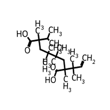 C=CC(C)(C)C(C)(CC(C)(C)C(C)(C)CC(C)(C(=O)O)C(C)C)C(=O)O